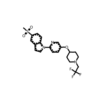 CS(=O)(=O)c1ccc2c(ccn2-c2ccc(OC3CCN(CC(F)(F)F)CC3)cn2)c1